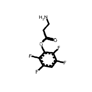 NCCC(=O)Oc1c(F)c(F)cc(F)c1F